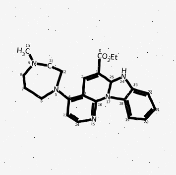 CCOC(=O)C1=Cc2c(N3CCCN(C)CC3)ccnc2N2c3ccccc3NC12